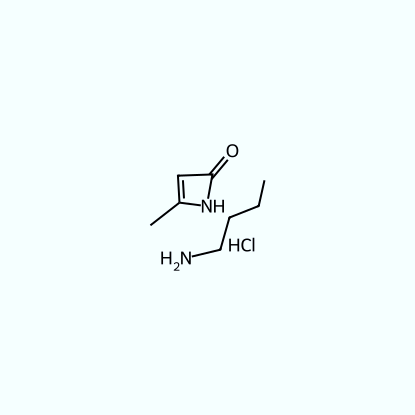 CC1=CC(=O)N1.CCCCN.Cl